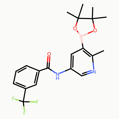 Cc1ncc(NC(=O)c2cccc(C(F)(F)F)c2)cc1B1OC(C)(C)C(C)(C)O1